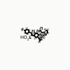 CS(=O)(=O)N(c1cc2oc(-c3ccc(F)cc3)c(C(=O)O)c2cc1C1CC1)C(C(N)=O)c1nccs1